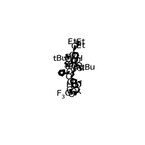 C=C(OS(=O)(=O)C(F)(F)F)[C@H](C)C[C@H]1CC[C@@H]2O[C@@H](CCC(/C=C/C(O[Si](C)(C)C(C)(C)C)C3O[C@H]4CC[C@H](CCO[Si](CC)(CC)CC)OC4[C@H](O[Si](C)(C)C(C)(C)C)[C@@H]3O[Si](C)(C)C(C)(C)C)OC(=O)c3ccccc3)C[C@]2(CI)O1